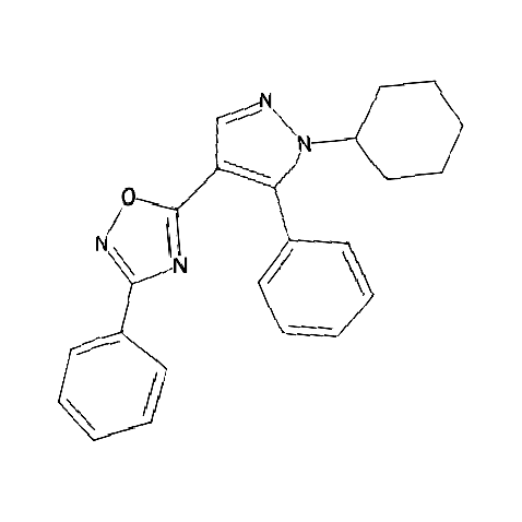 c1ccc(-c2noc(-c3cnn(C4CCCCC4)c3-c3ccccc3)n2)cc1